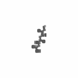 C=CC(=O)NCC(=O)NCC(=O)O